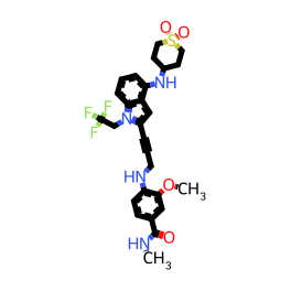 CNC(=O)c1ccc(NCC#Cc2cc3c(NC4CCS(=O)(=O)CC4)cccc3n2CC(F)(F)F)c(OC)c1